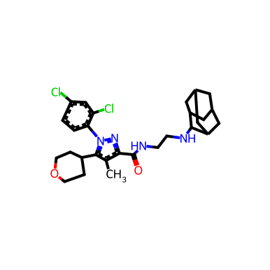 Cc1c(C(=O)NCCNC2C3CC4CC(C3)CC2C4)nn(-c2ccc(Cl)cc2Cl)c1C1CCOCC1